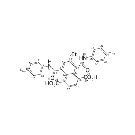 CCc1cc(C(=O)Nc2ccc(C)cc2)c2c(C(=O)O)ccc(C(=O)O)c2c1C(=O)Nc1ccc(C)cc1